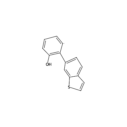 Oc1ccc[c]c1-c1ccc2ccsc2c1